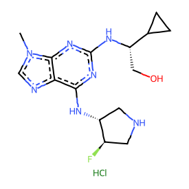 Cl.Cn1cnc2c(N[C@@H]3CNC[C@H]3F)nc(N[C@@H](CO)C3CC3)nc21